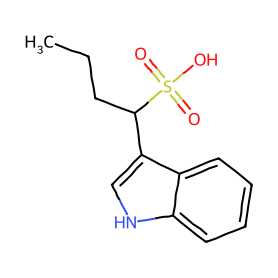 CCCC(c1c[nH]c2ccccc12)S(=O)(=O)O